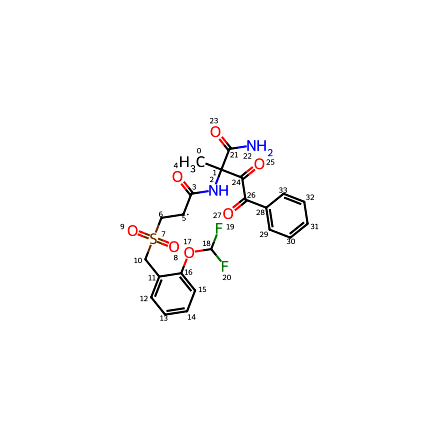 CC(NC(=O)[CH]CS(=O)(=O)Cc1ccccc1OC(F)F)(C(N)=O)C(=O)C(=O)c1ccccc1